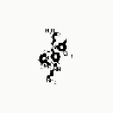 COc1ccc(C)nc1Cn1c(NCCCN)nc2ccc(CN(CCCC(N)=O)c3cc(C)cc(I)c3)cc21